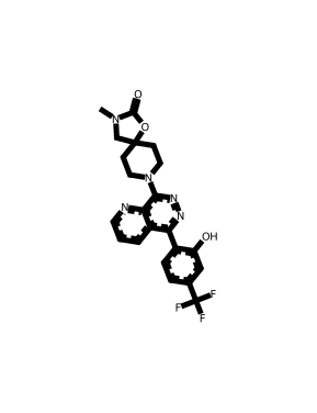 CN1CC2(CCN(c3nnc(-c4ccc(C(F)(F)F)cc4O)c4cccnc34)CC2)OC1=O